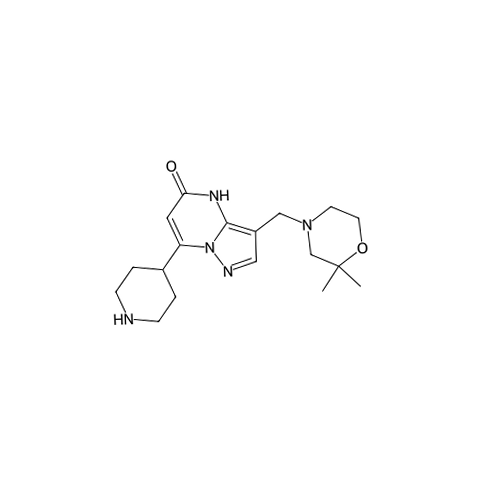 CC1(C)CN(Cc2cnn3c(C4CCNCC4)cc(=O)[nH]c23)CCO1